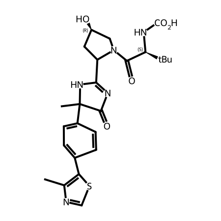 Cc1ncsc1-c1ccc(C2(C)NC(C3C[C@@H](O)CN3C(=O)[C@@H](NC(=O)O)C(C)(C)C)=NC2=O)cc1